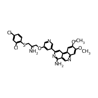 COc1cc2ncc3c(N)nc(-c4cncc(OC[C@@H](N)CSc5ccc(Cl)cc5Cl)c4)cc3c2cc1OC